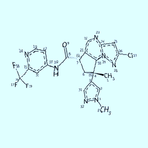 Cn1cc([C@]2(C)C[C@H](C(=O)Nc3ccnc(C(F)(F)F)c3)c3cnc4cc(Cl)nn4c32)cn1